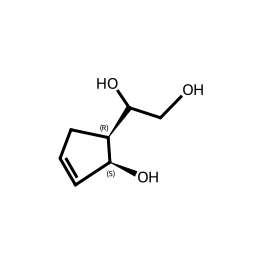 OCC(O)[C@@H]1CC=C[C@@H]1O